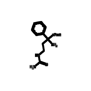 CCCCCC(N)(CCNC(N)=O)c1ccccc1